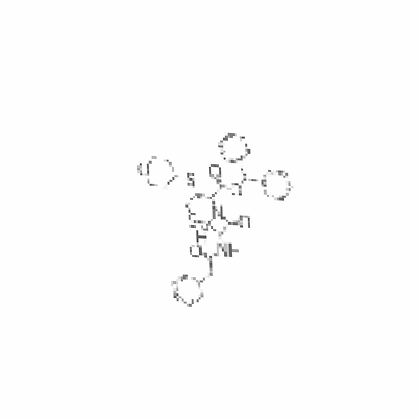 O=C(Cc1ccccc1)NC1C(=O)N2C(C(=O)OC(c3ccccc3)c3ccccc3)=C(SC3CCOCC3)CS[C@@H]12